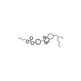 CCCCOC(=O)Oc1ccc(-c2ncc3c(n2)CCC(CC(CC)CCCC)C3)cc1